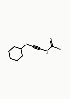 CC(=O)C(=O)NC#CSC1CCCCC1